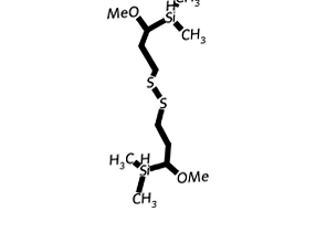 COC(CCSSCCC(OC)[SiH](C)C)[SiH](C)C